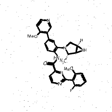 COc1ccncc1-c1ccc(NC(=O)c2ccnc(-c3c(F)cccc3OC)n2)c(N2C[C@H]3NC3[C@@H]2C)c1